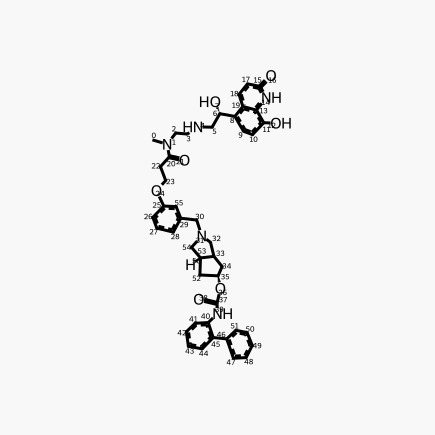 CN(CCNC[C@H](O)c1ccc(O)c2[nH]c(=O)ccc12)C(=O)CCOc1cccc(CN2CC3C[C@@H](OC(=O)Nc4ccccc4-c4ccccc4)C[C@@H]3C2)c1